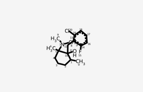 CC1CCCC(C)(N(C)C)C1(O)Cc1c(F)cccc1Cl